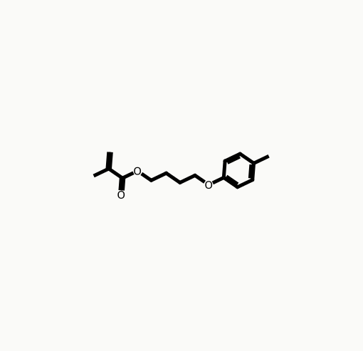 C=C(C)C(=O)OCCCCOc1ccc(C)cc1